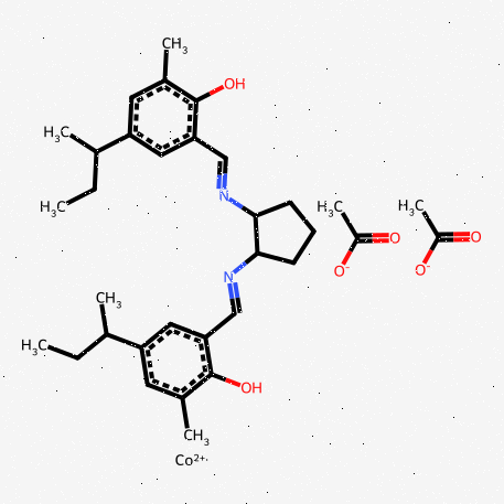 CC(=O)[O-].CC(=O)[O-].CCC(C)c1cc(C)c(O)c(C=NC2CCCC2N=Cc2cc(C(C)CC)cc(C)c2O)c1.[Co+2]